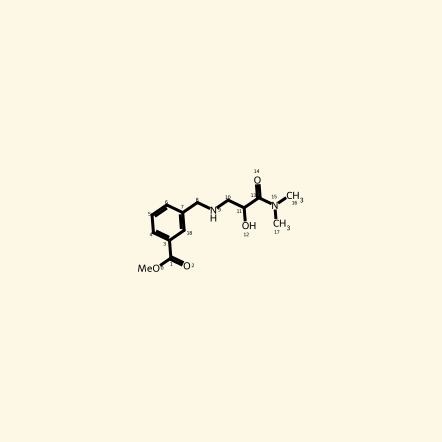 COC(=O)c1cccc(CNCC(O)C(=O)N(C)C)c1